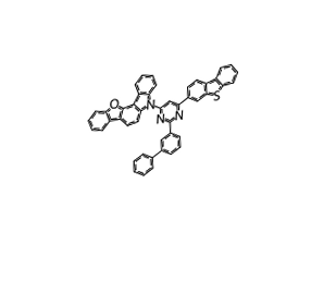 c1ccc(-c2cccc(-c3nc(-c4ccc5c(c4)sc4ccccc45)cc(-n4c5ccccc5c5c6oc7ccccc7c6ccc54)n3)c2)cc1